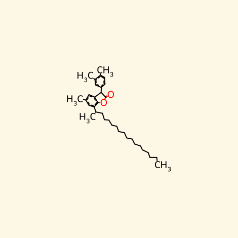 CCCCCCCCCCCCCCCCC(C)c1cc(C)cc2c1OC(=O)C2c1ccc(C)c(C)c1